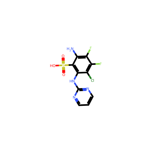 Nc1c(F)c(F)c(Cl)c(Nc2ncccn2)c1S(=O)(=O)O